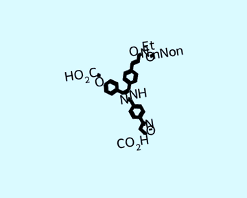 CCCCCCCCCON(CC)C(=O)C=Cc1ccc(-c2[nH]c(-c3ccc(C4=NOC(C(=O)O)C4)cc3)nc2-c2ccc(OCC(=O)O)cc2)cc1